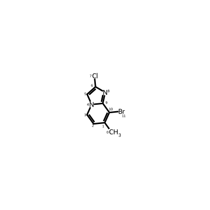 Cc1ccn2cc(Cl)nc2c1Br